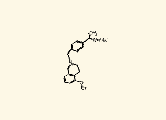 CCOc1cccc2c1CCN(Cc1ccc(C(C)NC(C)=O)cc1)C2